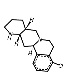 Clc1cccc2c1CCN1C[C@H]3CCCN[C@H]3C[C@H]21